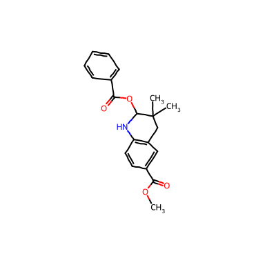 COC(=O)c1ccc2c(c1)CC(C)(C)C(OC(=O)c1ccccc1)N2